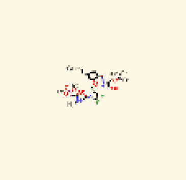 CCCCCCCCCCCCc1ccc(C(=O)N[C@H](CO)CO[Si](C(C)C)(C(C)C)C(C)C)c(OC[C@@H]2CC(F)(F)CN2C(=O)CN(C)C(=O)CP(=O)(OCC)OCC)c1